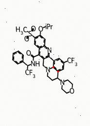 CC(C)Oc1cc2nc(-c3cccc(C(F)(F)F)c3)c(CN3CCC(N4CCOCC4)CC3)c(C(=O)NC(c3ccccc3)C(F)(F)F)c2cc1S(C)(=O)=O